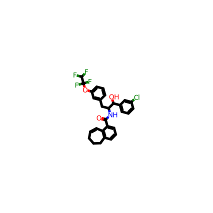 O=C(NC(Cc1cccc(OC(F)(F)C(F)F)c1)C(O)c1cccc(Cl)c1)c1cccc2c1C=CCCC2